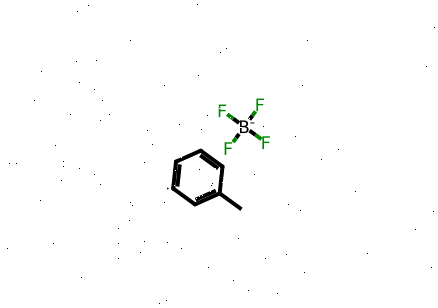 Cc1c[c]ccc1.F[B-](F)(F)F